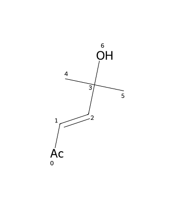 CC(=O)/C=C/C(C)(C)O